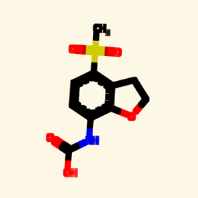 CS(=O)(=O)c1ccc(NC(=O)O)c2c1CCO2